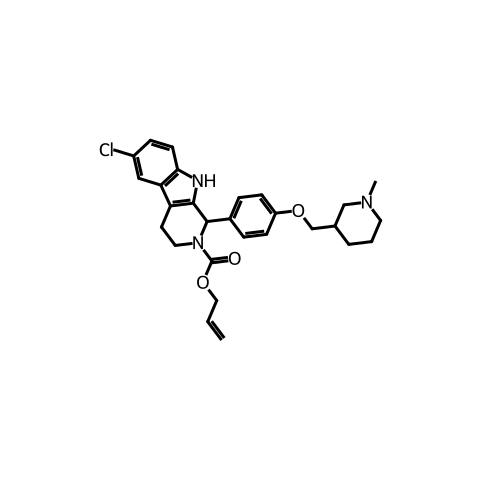 C=CCOC(=O)N1CCc2c([nH]c3ccc(Cl)cc23)C1c1ccc(OCC2CCCN(C)C2)cc1